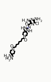 NCC1(N)CCN(C(=O)CCCCCCC(=O)N2CCC3(CC2)CN/C(=N\C(=O)c2nc(Cl)c(N)nc2N)N3)CC1